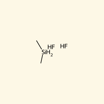 C[SiH2]C.F.F